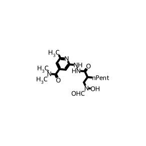 CCCCCC(CN(O)C=O)C(=O)NNc1cc(C(=O)N(C)C)cc(C)n1